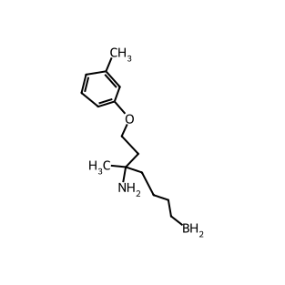 BCCCCC(C)(N)CCOc1cccc(C)c1